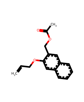 C=CCOc1cc2ccccc2cc1COC(C)=O